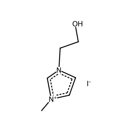 C[n+]1ccn(CCO)c1.[I-]